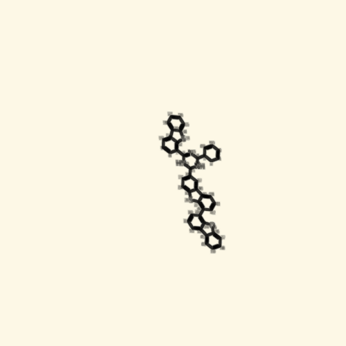 C1=CCC(C2N=C(c3cccc4c3sc3ccccc34)NC(c3ccc4sc5c(-c6cccc7c6oc6ccccc67)cccc5c4c3)N2)C=C1